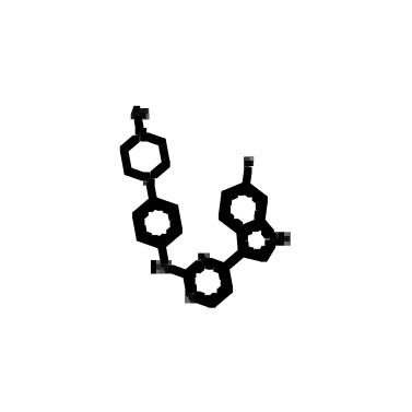 CC(=O)N1CCN(c2ccc(Nc3nccc(-c4c[nH]c5cc(F)ccc45)n3)cc2)CC1